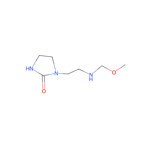 COCNCCN1CCNC1=O